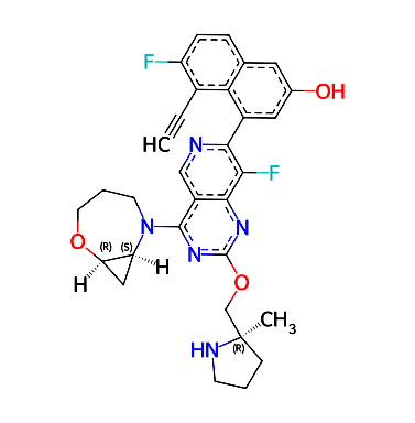 C#Cc1c(F)ccc2cc(O)cc(-c3ncc4c(N5CCCO[C@@H]6C[C@@H]65)nc(OC[C@@]5(C)CCCN5)nc4c3F)c12